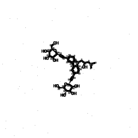 CN(C)CC(O)Cn1c2ccc(C#C[C@H]3O[C@H](CO)[C@@H](O)[C@H](O)[C@@H]3O)cc2c2cc(C#C[C@H]3O[C@H](CO)[C@@H](O)[C@H](O)[C@@H]3O)ccc21